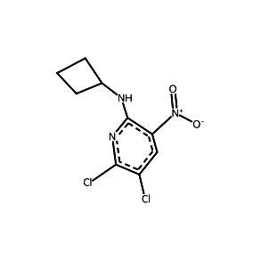 O=[N+]([O-])c1cc(Cl)c(Cl)nc1NC1CCC1